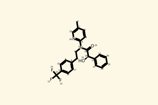 Cc1ccc(N(CCc2ccc(C(F)(F)F)cc2)C(=O)[C@H](O)c2ccccc2)nc1